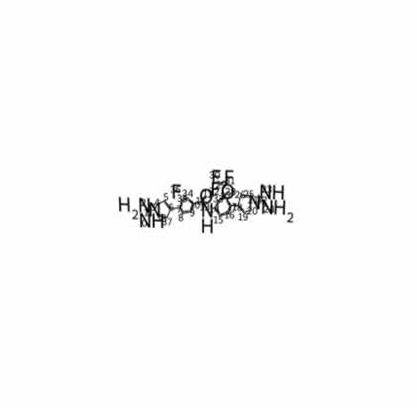 N=C(N)N1CC=C(c2ccc(C(=O)Nc3ccc(C4=CCN(C(=N)N)CC4)c(OC(F)(F)F)c3)cc2F)CC1